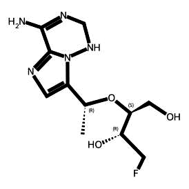 C[C@@H](O[C@@H](CO)[C@@H](O)CF)c1cnc2n1NCN=C2N